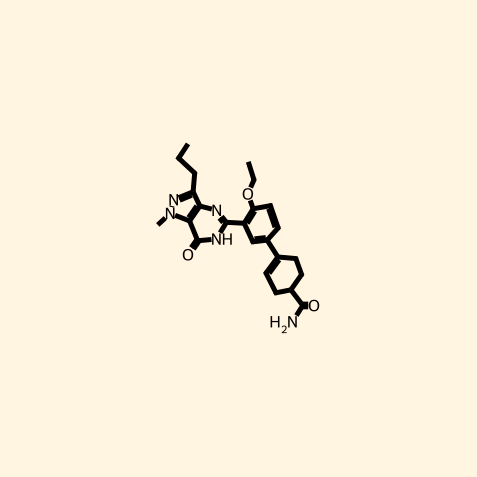 CCCc1nn(C)c2c(=O)[nH]c(-c3cc(C4=CCC(C(N)=O)CC4)ccc3OCC)nc12